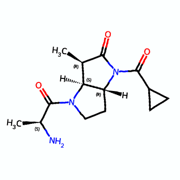 C[C@H](N)C(=O)N1CC[C@@H]2[C@@H]1[C@@H](C)C(=O)N2C(=O)C1CC1